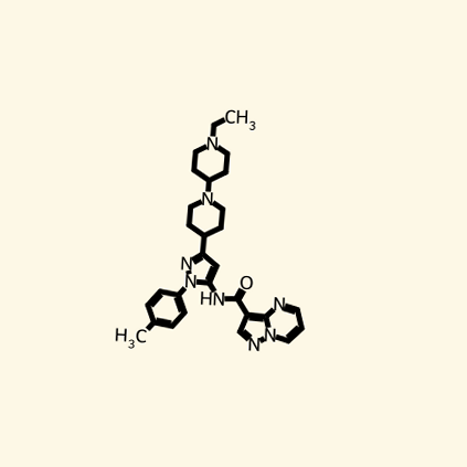 CCN1CCC(N2CCC(c3cc(NC(=O)c4cnn5cccnc45)n(-c4ccc(C)cc4)n3)CC2)CC1